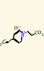 C=Cc1cc[n+](CCC(=O)O)cc1.[Br-]